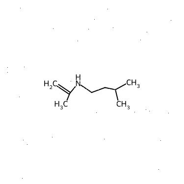 C=C(C)NCCC(C)C